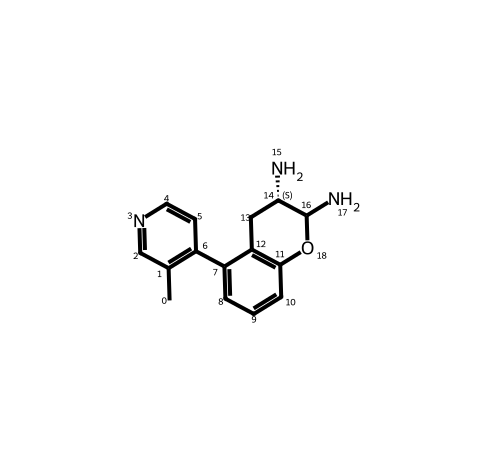 Cc1cnccc1-c1cccc2c1C[C@H](N)C(N)O2